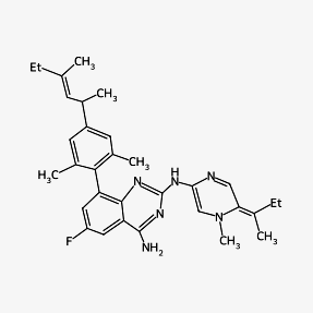 CC/C(C)=C/C(C)c1cc(C)c(-c2cc(F)cc3c(N)nc(NC4=CN(C)/C(=C(\C)CC)C=N4)nc23)c(C)c1